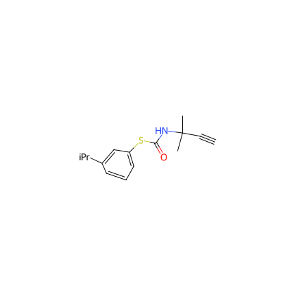 C#CC(C)(C)NC(=O)Sc1cccc(C(C)C)c1